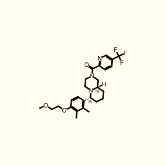 COCCOc1ccc([C@H]2CCC[C@H]3CN(C(=O)c4ccc(C(F)(F)F)cn4)CCN32)c(C)c1C